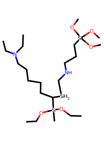 CCO[Si](C)(OCC)C(CCCCCN(CC)CC)[SiH2]CNCCC[Si](OC)(OC)OC